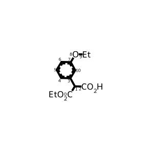 CCOC(=O)C(C(=O)O)c1cccc(OCC)c1